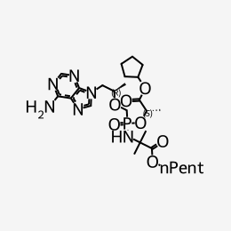 CCCCCOC(=O)C(C)(C)NP(=O)(CO[C@H](C)Cn1cnc2c(N)ncnc21)O[C@@H](C)C(=O)OC1CCCC1